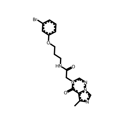 Cc1ncn2ncn(CC(=O)NCCCOc3cccc(Br)c3)c(=O)c12